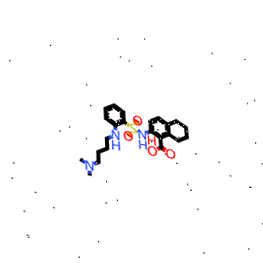 CN(C)CCCCNc1ccccc1S(=O)(=O)Nc1ccc2c(c1C(=O)O)CCCC2